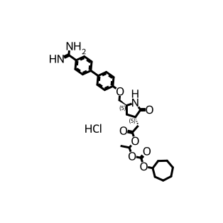 CC(OC(=O)C[C@@H]1C[C@@H](COc2ccc(-c3ccc(C(=N)N)cc3)cc2)NC1=O)OC(=O)OC1CCCCCC1.Cl